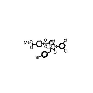 COC(=O)C1CCN(S(=O)(=O)c2cnc3n2[C@](C)(Cc2ccc(Br)cc2)C(=O)N3c2cc(Cl)cc(Cl)c2)CC1